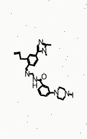 C=CCc1cc(-c2cnc(C)n2C)ccc1/C=N\CNC(=O)c1cccc(N2CCN(I)CC2)c1